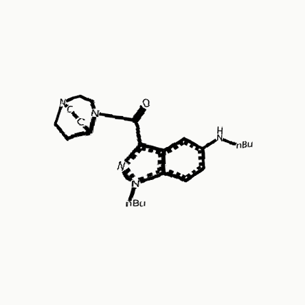 CCCCNc1ccc2c(c1)c(C(=O)N1CCN3CCC1CC3)nn2CCCC